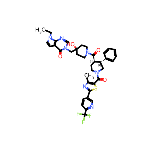 CCn1ccc2c(=O)n(CC3(O)CCN(C(=O)[C@@H]4CCN(C(=O)c5sc(-c6ccc(C(F)(F)F)nc6)nc5C)C[C@H]4c4ccccc4)CC3)cnc21